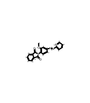 COc1cc(N=Nc2ccccn2)ccc1N1C(=O)c2ccccc2C1=O